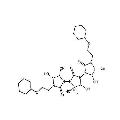 C[C@@]1(O)C(O)N(N2C(=O)N(CCOC3CCCCC3)C(O)C2O)C(=O)N1N1C(=O)N(CCOC2CCCCC2)C(O)C1O